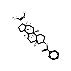 CC(=NO)[C@H]1CC[C@H]2[C@@H]3CC[C@H]4CC(OC(=O)c5ccccc5)CC[C@]4(C)[C@H]3CC[C@]12C